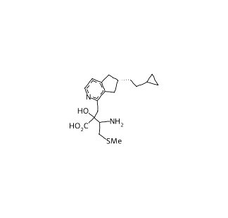 CSCC(N)C(O)(Cc1nccc2c1C[C@@H](CCC1CC1)C2)C(=O)O